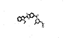 CCn1c(-c2nc3cc(C(=O)N4CC(C)CC(N=[N+]=[N-])C4)ccc3n2C)cc2ccccc21